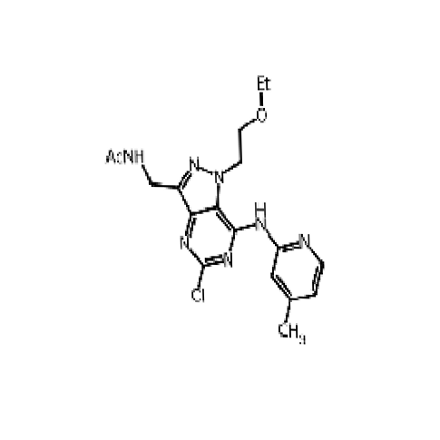 CCOCCn1nc(CNC(C)=O)c2nc(Cl)nc(Nc3cc(C)ccn3)c21